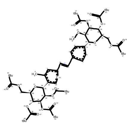 Cc1cc(/C=C/c2ccc([C@H]3O[C@H](COC(=O)C(C)(C)C)[C@@H](OC(=O)C(C)(C)C)[C@H](OC(=O)C(C)(C)C)[C@@H]3OP)cc2)ccc1[C@H]1O[C@H](COC(=O)C(C)(C)C)[C@@H](OC(=O)C(C)(C)C)[C@H](OC(=O)C(C)(C)C)[C@@H]1OC(=O)C(C)(C)C